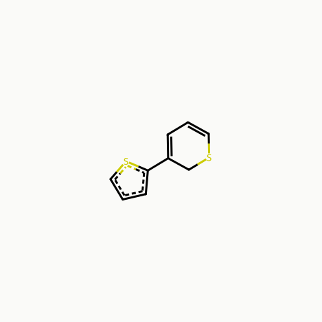 C1=CSCC(c2cccs2)=C1